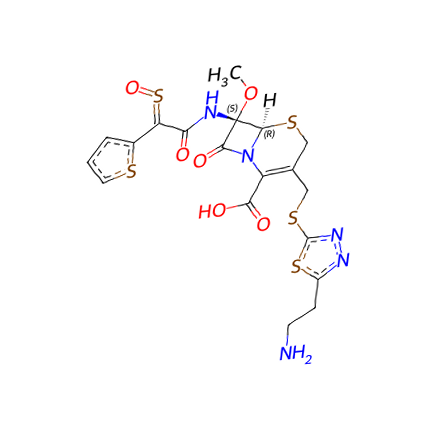 CO[C@@]1(NC(=O)C(=S=O)c2cccs2)C(=O)N2C(C(=O)O)=C(CSc3nnc(CCN)s3)CS[C@@H]21